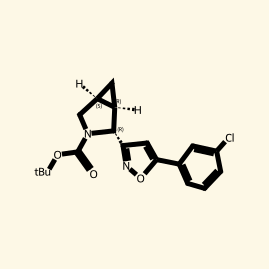 CC(C)(C)OC(=O)N1C[C@H]2C[C@H]2[C@@H]1c1cc(-c2cccc(Cl)c2)on1